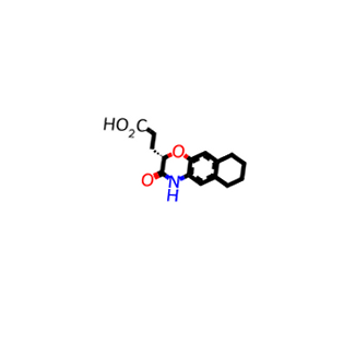 O=C(O)CC[C@@H]1Oc2cc3c(cc2NC1=O)CCCC3